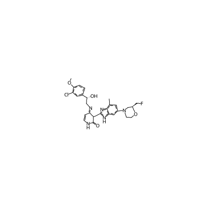 COc1ccc([C@H](O)CN=C2C=CNC(=O)C2c2nc3c(C)cc(N4CCO[C@H](CF)C4)cc3[nH]2)cc1Cl